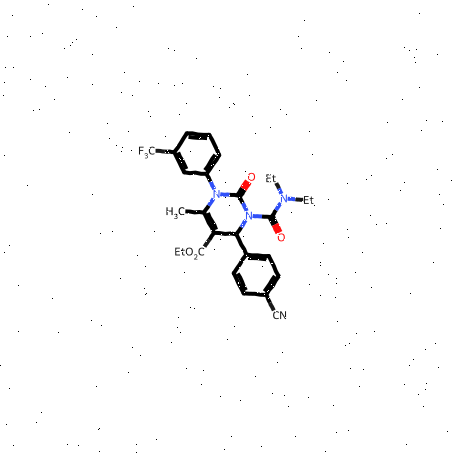 CCOC(=O)C1=C(C)N(c2cccc(C(F)(F)F)c2)C(=O)N(C(=O)N(CC)CC)C1c1ccc(C#N)cc1